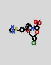 COC(=O)c1ccc2c(c1)N(C[C@@H]1CC[C@H]1[C@H](OC)C1=CCC(CSc3ncccn3)CC1)CCCCc1cc(Cl)ccc1CO2